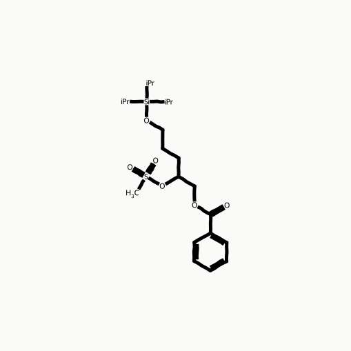 CC(C)[Si](OCCCC(COC(=O)c1ccccc1)OS(C)(=O)=O)(C(C)C)C(C)C